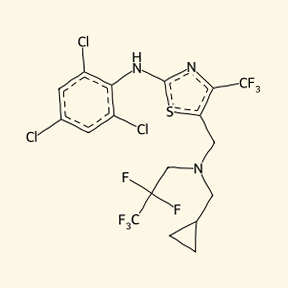 FC(F)(F)c1nc(Nc2c(Cl)cc(Cl)cc2Cl)sc1CN(CC1CC1)CC(F)(F)C(F)(F)F